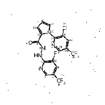 O=C(NNc1ncc(C(F)(F)F)cc1F)c1cccn1-c1ncc(C(F)(F)F)cc1Cl